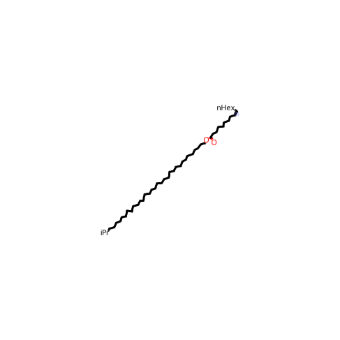 CCCCCC/C=C\CCCCCCCC(=O)OCCCCCCCCCCCCCCCCCCCCCCCCCCCCCCCCC(C)C